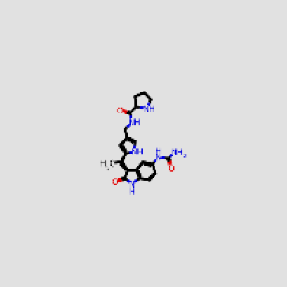 C/C(=C1\C(=O)Nc2ccc(NC(N)=O)cc21)c1cc(CNC(=O)C2CCCN2)c[nH]1